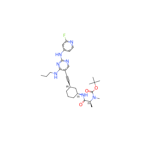 CCCNc1nc(Nc2ccnc(F)c2)ncc1C#C[C@@H]1CCC[C@H](NC(=O)[C@H](C)N(C)C(=O)OC(C)(C)C)C1